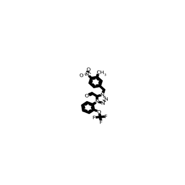 Cc1cc(CN2N=NN(c3ccccc3OC(F)(F)F)C2C=O)ccc1[N+](=O)[O-]